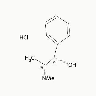 CN[C@H](C)[C@@H](O)c1ccccc1.Cl